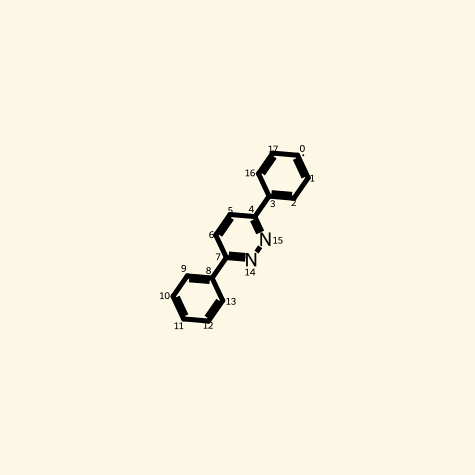 [c]1ccc(-c2ccc(-c3ccccc3)nn2)cc1